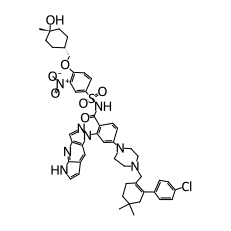 CC1(C)CCC(CN2CCN(c3ccc(C(=O)NS(=O)(=O)c4ccc(OC[C@H]5CC[C@@](C)(O)CC5)c([N+](=O)[O-])c4)c(-n4ncc5nc6[nH]ccc6cc54)c3)CC2)=C(c2ccc(Cl)cc2)C1